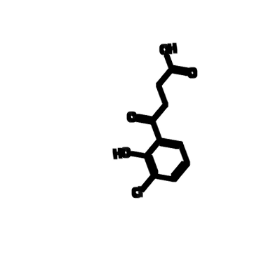 O=C(O)CCC(=O)c1cccc(Cl)c1O